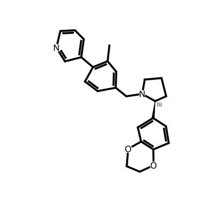 Cc1cc(CN2CCC[C@H]2c2ccc3c(c2)OCCO3)ccc1-c1cccnc1